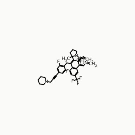 C=CNN1CCCC1(C)/C(C)=C(\Cc1c(F)cc(C#CCN2CCCCC2)cc1F)c1ccc(C(F)(F)F)cc1C(/C=C\F)=C/N=C